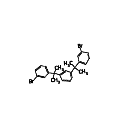 CC(C)(c1cccc(Br)c1)c1cccc(C(C)(C)c2cccc(Br)c2)c1